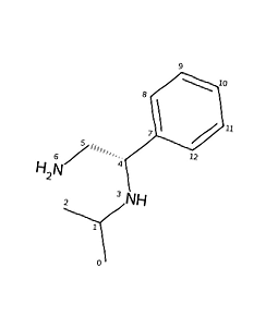 CC(C)N[C@H](CN)c1ccccc1